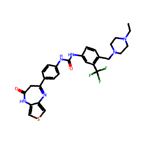 CCN1CCN(Cc2ccc(NC(=O)Nc3ccc(C4=Nc5cscc5NC(=O)C4)cc3)cc2C(F)(F)F)CC1